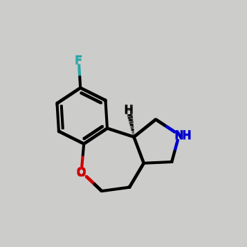 Fc1ccc2c(c1)[C@H]1CNCC1CCO2